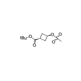 CC(C)(C)OC(=O)[C@H]1C[C@@H](OS(C)(=O)=O)C1